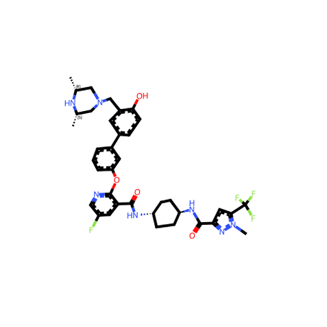 C[C@@H]1CN(Cc2cc(-c3cccc(Oc4ncc(F)cc4C(=O)N[C@H]4CC[C@H](NC(=O)c5cc(C(F)(F)F)n(C)n5)CC4)c3)ccc2O)C[C@H](C)N1